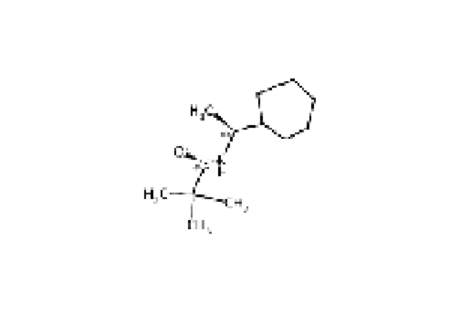 C[C@H](N[S@+]([O-])C(C)(C)C)C1CCCCC1